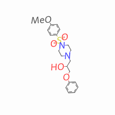 COc1ccc(S(=O)(=O)N2CCN(CC(O)COc3ccccc3)CC2)cc1